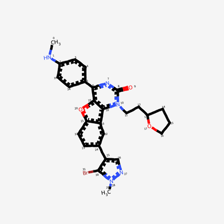 CNc1ccc(-c2nc(=O)n(CCC3CCCO3)c3c2oc2ccc(-c4cnn(C)c4Br)cc23)cc1